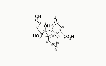 CC(CCO)CC(O)(C1CC(C(=O)O)CC2OC21)C1(C(=O)O)CCC2OC2C1